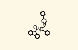 O=C(C1c2ccccc2-c2ccccc21)N1CC(CN2CCC(c3ccccc3)CC2)C(c2ccccc2)C1